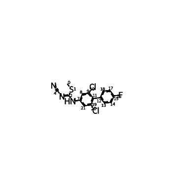 CS/C(=N\C#N)Nc1cc(Cl)c(-c2ccc(F)cc2)c(Cl)c1